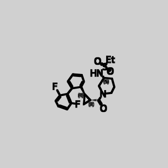 CCS(=O)(=O)N[C@H]1CCCN(C(=O)[C@@H]2C[C@H]2c2ccccc2-c2c(F)cccc2F)C1